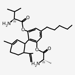 C=C(C)C1CCC(C)=CC1c1c(OC(=O)[C@H](C)N)cc(CCCCC)cc1OC(=O)[C@@H](N)C(C)C